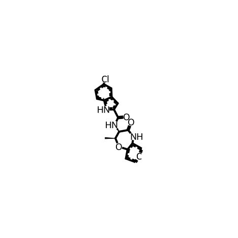 C[C@@H]1Oc2ccccc2NC(=O)[C@@H]1NC(=O)c1cc2cc(Cl)ccc2[nH]1